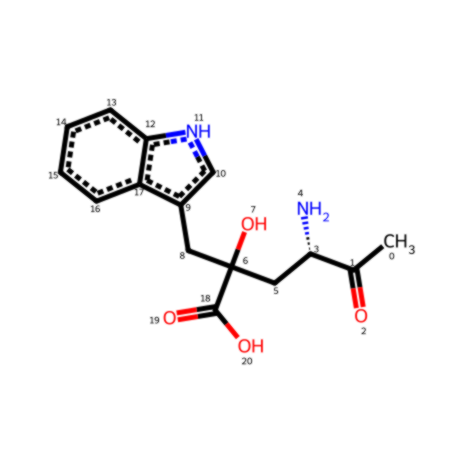 CC(=O)[C@@H](N)CC(O)(Cc1c[nH]c2ccccc12)C(=O)O